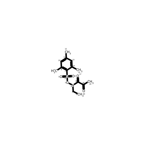 CCN(OS(=O)(=O)c1c(C)cc(C)cc1C)C(=O)C(C)=O